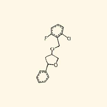 Fc1cccc(Cl)c1COC1COC(c2ccccc2)C1